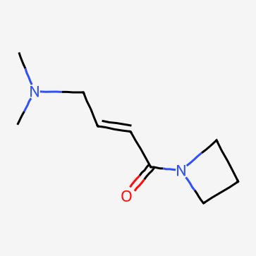 CN(C)C/C=C/C(=O)N1CCC1